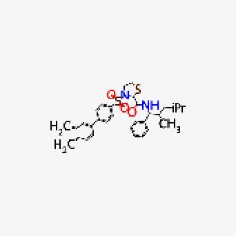 C=C/C=C\C(=C/C=C)c1ccc(S(=O)(=O)N2CCSC2C(=O)NC(c2ccccc2)C(C)CC(C)C)cc1